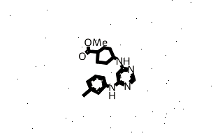 COC(=O)C1CCC(Nc2cc(Nc3cccc(C)c3)ncn2)CC1